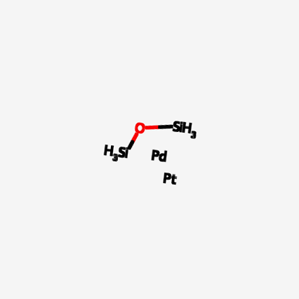 [Pd].[Pt].[SiH3]O[SiH3]